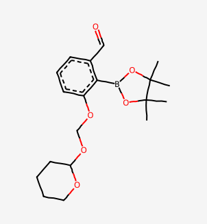 CC1(C)OB(c2c(C=O)cccc2OCOC2CCCCO2)OC1(C)C